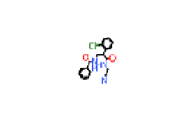 N#CCNC(=O)C(CNC(=O)c1ccccc1)c1ccccc1Cl